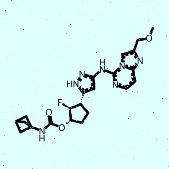 COCc1cn2c(Nc3cc([C@@H]4CC[C@H](OC(=O)NC56CC(C5)C6)[C@H]4F)[nH]n3)nccc2n1